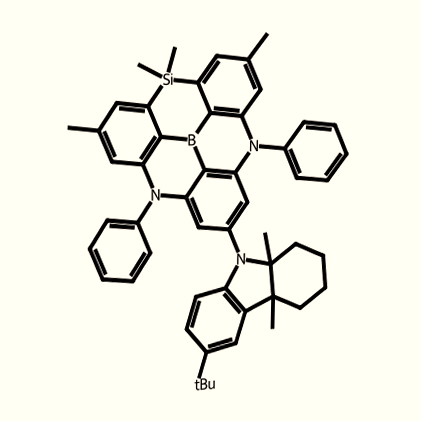 Cc1cc2c3c(c1)[Si](C)(C)c1cc(C)cc4c1B3c1c(cc(N3c5ccc(C(C)(C)C)cc5C5(C)CCCCC35C)cc1N4c1ccccc1)N2c1ccccc1